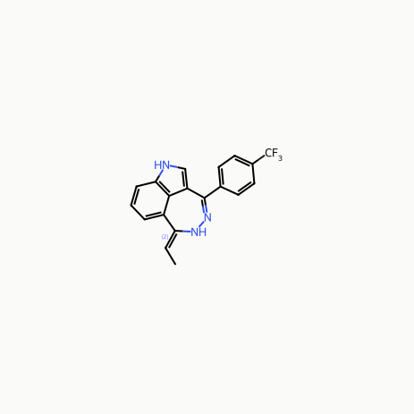 C/C=c1\[nH]nc(-c2ccc(C(F)(F)F)cc2)c2c[nH]c3cccc1c32